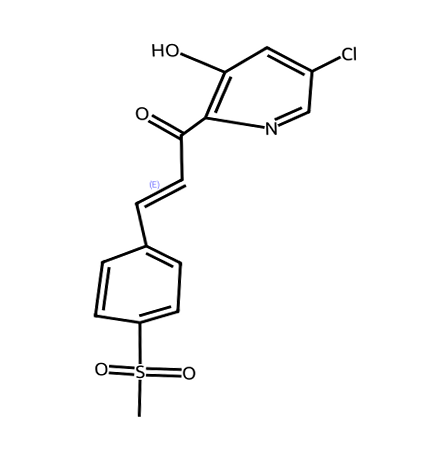 CS(=O)(=O)c1ccc(/C=C/C(=O)c2ncc(Cl)cc2O)cc1